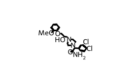 COc1ccccc1OCC(O)CN1CCN(C(C(N)=O)c2ccc(Cl)c(Cl)c2)CC1